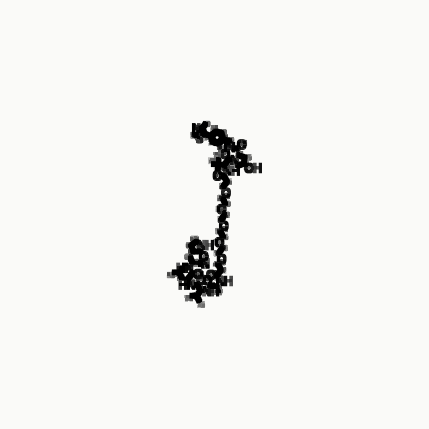 Cc1ncsc1-c1ccc(CNC(=O)[C@@H]2C[C@@H](O)CN2C(=O)[C@@H](NC(=O)CCOCCOCCOCCOCCOCCC(=O)N[C@@H](C)C(=O)N[C@H](C(=O)N[C@@H](CC(C)C)C(=O)N[C@H](C#N)C[C@@H]2CCNC2=O)C(C)C)C(C)(C)C)cc1